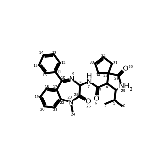 CC(C)CC(C(=O)NC1N=C(c2ccccc2)c2ccccc2N(C)C1=O)C1(C(N)=O)CC=CC1